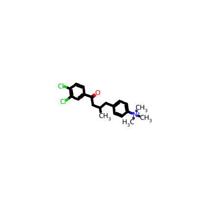 CC(CC(=O)c1ccc(Cl)c(Cl)c1)Cc1ccc([N+](C)(C)C)cc1